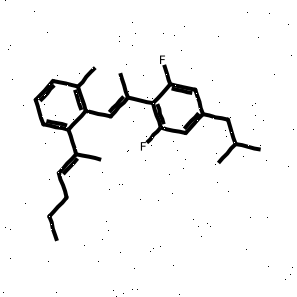 CCC/C=C(\C)c1cccc(C)c1/C=C(\C)c1c(F)cc(CC(C)C)cc1F